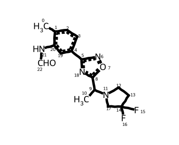 Cc1ccc(-c2noc(C(C)N3CCC(F)(F)C3)n2)cc1NC=O